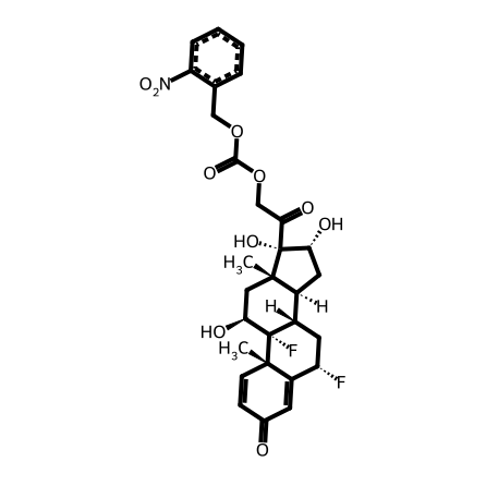 C[C@]12C=CC(=O)C=C1[C@@H](F)C[C@H]1[C@@H]3C[C@@H](O)[C@](O)(C(=O)COC(=O)OCc4ccccc4[N+](=O)[O-])[C@@]3(C)C[C@H](O)[C@@]12F